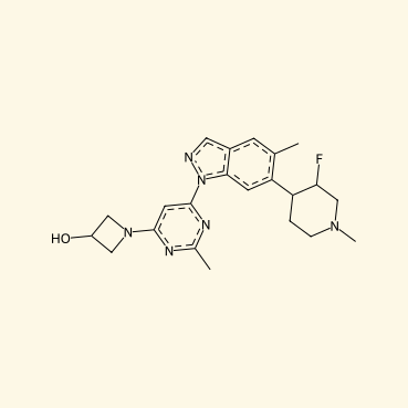 Cc1nc(N2CC(O)C2)cc(-n2ncc3cc(C)c(C4CCN(C)CC4F)cc32)n1